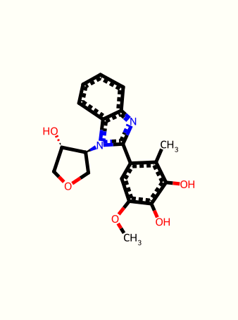 COc1cc(-c2nc3ccccc3n2[C@H]2COC[C@@H]2O)c(C)c(O)c1O